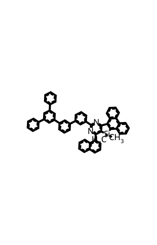 C[Si]1(C)c2c(-c3cccc4ccccc34)nc(-c3cccc(-c4cccc(-c5cc(-c6ccccc6)cc(-c6ccccc6)c5)c4)c3)nc2-c2c1c1ccccc1c1ccccc21